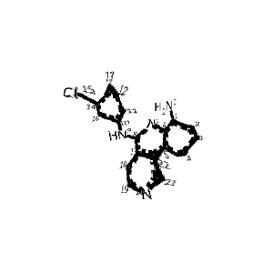 Nc1cccc2c1nc(Nc1cccc(Cl)c1)c1ccncc12